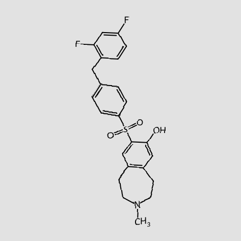 CN1CCc2cc(O)c(S(=O)(=O)c3ccc(Cc4ccc(F)cc4F)cc3)cc2CC1